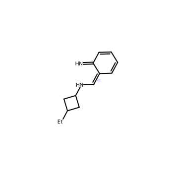 CCC1CC(N/C=C2/C=CC=CC2=N)C1